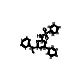 CN(c1ccccc1)c1cc(-c2ccccc2)nc(NS(=O)(=O)c2ccccc2)n1